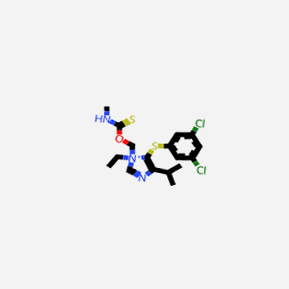 CC[N+]1(COC(=S)NC)C=NC(C(C)C)=C1Sc1cc(Cl)cc(Cl)c1